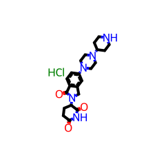 Cl.O=C1CCC(N2Cc3cc(N4CCN(C5CCNCC5)CC4)ccc3C2=O)C(=O)N1